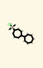 C[Si](C)(Cl)C1CCCC(C2CCCCCC2)CC1